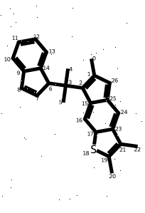 CC1=C(C(C)(C)C2C=Cc3ccccc32)C2=CC3SC(C)=C(C)C3=CC2=C1